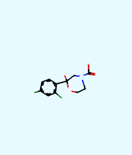 CC(C)(C)OC(=O)N1CCOC(O)(c2ccc(F)cc2F)C1